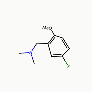 COc1ccc(F)cc1CN(C)C